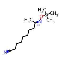 C/C(CCCCCCCC#N)=N\O[Si](C)(C)C